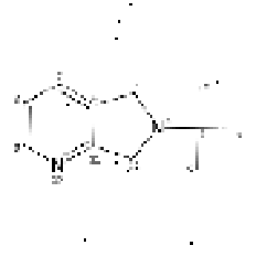 CC(C)(C)N1Cc2cccnc2C1